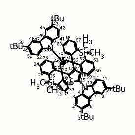 CC(C)(C)c1ccc2c(c1)c1cc(C(C)(C)C)ccc1n2-c1cc2c(s1)C1(c3ccccc3[Si](C)(C)c3ccccc31)c1cc(-n3c4ccc(C(C)(C)C)cc4c4cc(C(C)(C)C)ccc43)sc1C21c2ccccc2[Si](C)(C)c2ccccc21